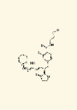 CCOCCNC(=O)c1ccc(Cc2cc(C(=O)N[C@H]3CCOC[C@@H]3O)nc3c2OCC3)cc1F